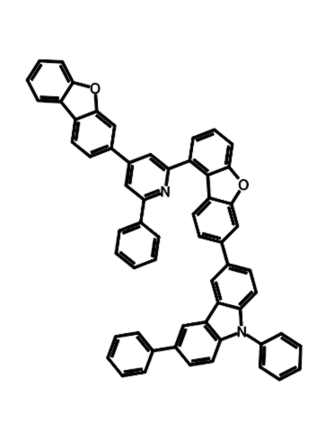 c1ccc(-c2ccc3c(c2)c2cc(-c4ccc5c(c4)oc4cccc(-c6cc(-c7ccc8c(c7)oc7ccccc78)cc(-c7ccccc7)n6)c45)ccc2n3-c2ccccc2)cc1